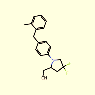 Cc1ccccc1Cc1ccc(N2CC(F)(F)CC2CC#N)cc1